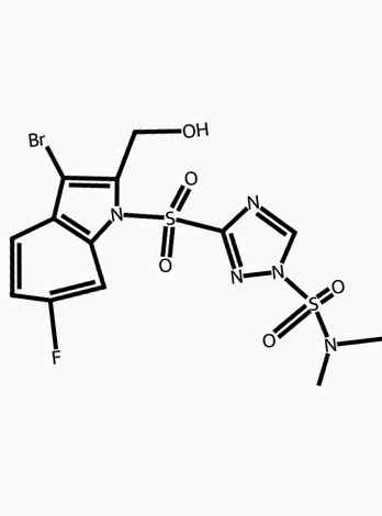 CN(C)S(=O)(=O)n1cnc(S(=O)(=O)n2c(CO)c(Br)c3ccc(F)cc32)n1